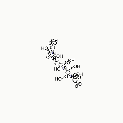 NC(=O)c1nn(-c2ccc3c(O)c(/N=N/c4cc(OCCO)c(/N=N/c5ccc([N+](=O)[O-])cc5S(=O)(=O)O)cc4OCCO)c(SOOO)cc3c2)c(O)c1/N=N/c1ccc(S(=O)(=O)O)cc1C(=O)O